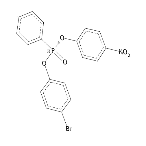 O=[N+]([O-])c1ccc(O[P@](=O)(Oc2ccc(Br)cc2)c2cc[c]cc2)cc1